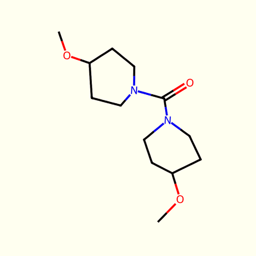 COC1CCN(C(=O)N2CCC(OC)CC2)CC1